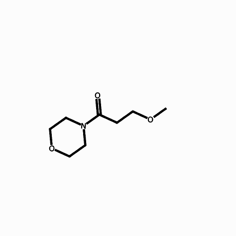 COCCC(=O)N1CCOCC1